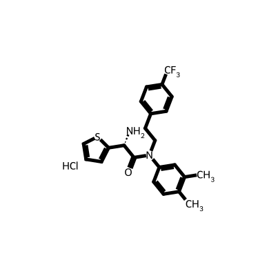 Cc1ccc(N(CCc2ccc(C(F)(F)F)cc2)C(=O)[C@@H](N)c2cccs2)cc1C.Cl